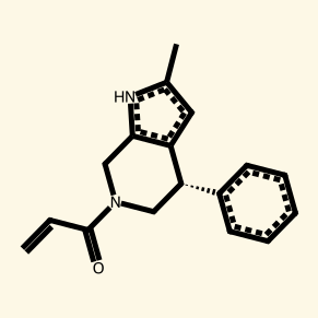 C=CC(=O)N1Cc2[nH]c(C)cc2[C@H](c2ccccc2)C1